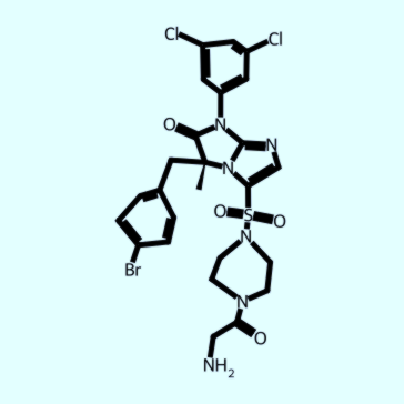 C[C@@]1(Cc2ccc(Br)cc2)C(=O)N(c2cc(Cl)cc(Cl)c2)c2ncc(S(=O)(=O)N3CCN(C(=O)CN)CC3)n21